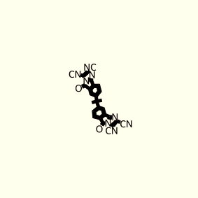 [C-]#[N+]c1nc2n(c1[N+]#[C-])C(=O)c1cc(C(C)(C)c3ccc4c(c3)-c3nc(C#N)c(C#N)n3C4=O)ccc1-2